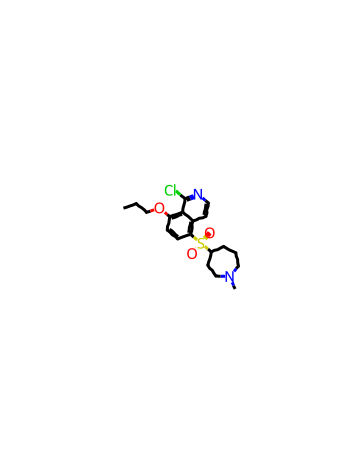 CCCOc1ccc(S(=O)(=O)C2CCCN(C)CC2)c2ccnc(Cl)c12